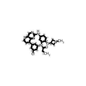 C=CC(=O)Nc1cc(Nc2ncc3nccc(-c4cccc(Cl)c4)c3n2)ccc1OC1CN(C)C1